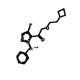 C[C@H](c1ccccc1)n1ncc(F)c1C(=O)COCCC1CCC1